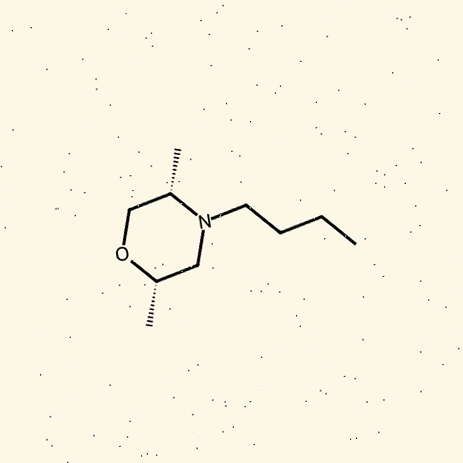 CCCCN1C[C@H](C)OC[C@@H]1C